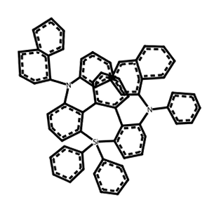 c1ccc(N(c2cccc3c2-c2ccccc2-c2c(N(c4ccccc4)c4cccc5ccccc45)cccc2[Si]3(c2ccccc2)c2ccccc2)c2cccc3ccccc23)cc1